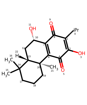 CC(C)C1=C(O)C(=O)C2=C(C1=O)[C@@H](O)C[C@H]1C(C)(C)CCC[C@]21C